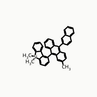 Cc1ccc2c(-c3ccc4ccccc4c3)c3ccccc3c(-c3cccc4c3-c3ccccc3[Si]4(C)C)c2c1